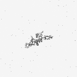 CCOc1c(CC(N)=O)cc([C@@](O)(CNC(=O)c2ccc(N3CCCCC3)c(OC3CC3)c2)C(F)(F)F)nc1-c1ccc(F)cc1